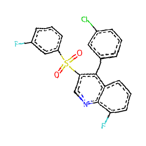 O=S(=O)(c1cccc(F)c1)c1cnc2c(F)cccc2c1-c1cccc(Cl)c1